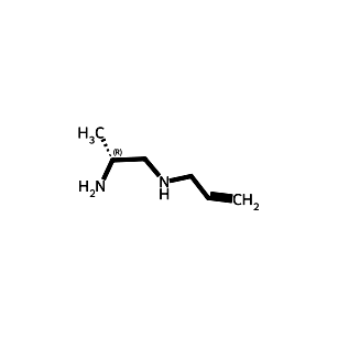 C=CCNC[C@@H](C)N